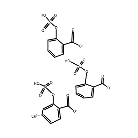 O=C([O-])c1ccccc1OS(=O)(=O)O.O=C([O-])c1ccccc1OS(=O)(=O)O.O=C([O-])c1ccccc1OS(=O)(=O)O.[Ce+3]